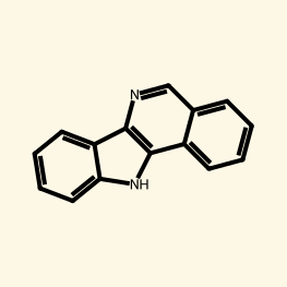 c1ccc2c(c1)cnc1c3ccccc3[nH]c21